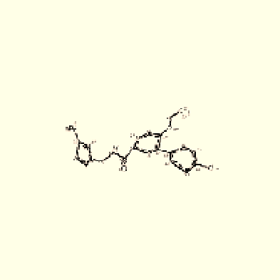 CCCn1ccc(CNC(=O)c2cc(-c3ccc(Cl)cc3)c(OCC(F)(F)F)cn2)n1